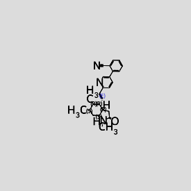 C[C@H]1[C@H](/C=C/c2ccc(-c3ccccc3C#N)cn2)[C@H]2CC(=O)N(C)[C@H]2C[C@@H]1C